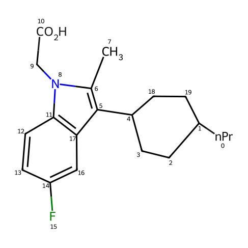 CCCC1CCC(c2c(C)n(CC(=O)O)c3ccc(F)cc23)CC1